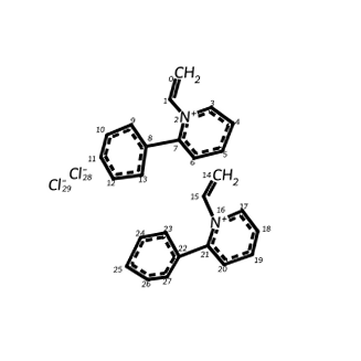 C=C[n+]1ccccc1-c1ccccc1.C=C[n+]1ccccc1-c1ccccc1.[Cl-].[Cl-]